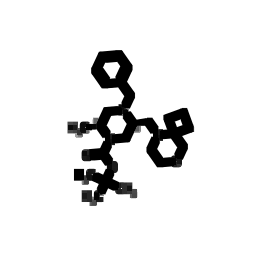 C[C@@H]1CN(Cc2ccccc2)[C@@H](CN2CCOCC23CCC3)CN1C(=O)OC(C)(C)C